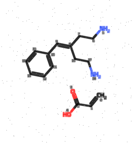 C=CC(=O)O.NCCC(=Cc1ccccc1)CCN